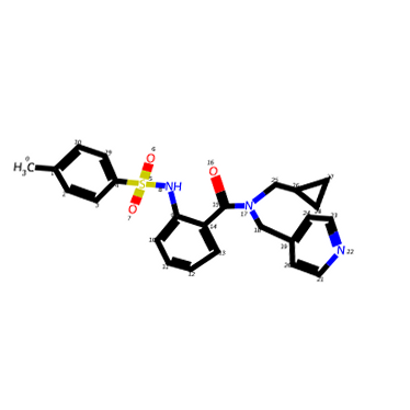 Cc1ccc(S(=O)(=O)Nc2ccccc2C(=O)N(Cc2ccncc2)CC2CC2)cc1